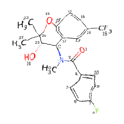 CN(C(=O)c1ccc(F)cc1)[C@@H]1c2cc(C(F)(F)F)ccc2OC(C)(C)[C@H]1O